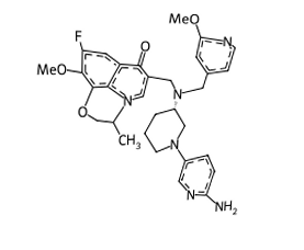 COc1cc(CN(Cc2cn3c4c(c(OC)c(F)cc4c2=O)OCC3C)[C@H]2CCCN(c3ccc(N)nc3)C2)ccn1